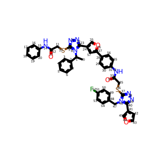 CC(c1ccccc1)n1c(SCC(=O)Nc2ccccc2)nnc1-c1coc(-c2ccc(NC(=O)CSc3nnc(-c4ccoc4)n3Cc3ccc(F)cc3)cc2)c1